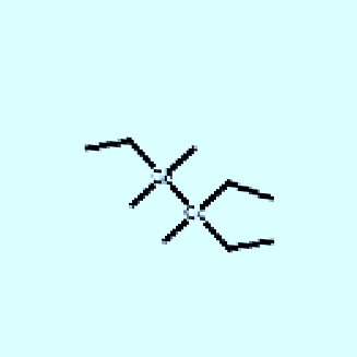 C[CH2][Ge]([CH3])([CH3])[Ge]([CH3])([CH2]C)[CH2]C